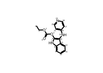 CCOC(=O)Oc1[nH]c2ccccc2c1Nc1ccncc1